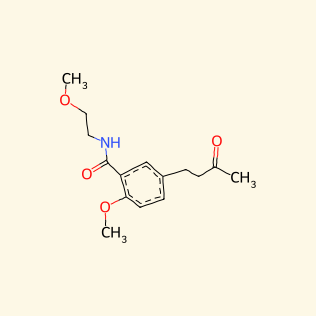 COCCNC(=O)c1cc(CCC(C)=O)ccc1OC